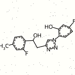 Cc1ccc(C(O)Cc2cn(-c3ccc(F)cc3O)nn2)c(F)c1